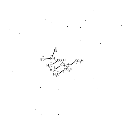 CC(=O)O.CC(=O)O.CC(=O)O.CC(=O)O.CCNCC